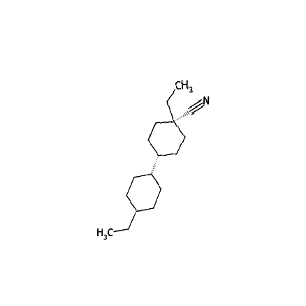 CCC1CCC([C@H]2CC[C@](C#N)(CC)CC2)CC1